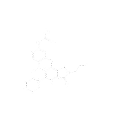 CCCN1Cc2c(Nc3cc(NC(C)=O)ccc3OC)nc(N3CCOCC3)nc2C1=O